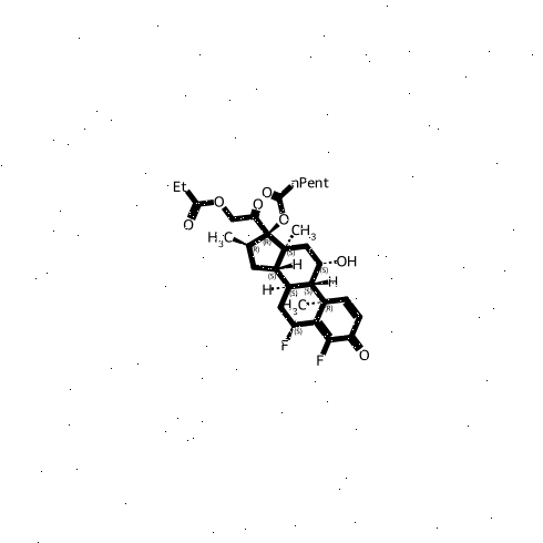 CCCCCC(=O)O[C@]1(C(=O)COC(=O)CC)[C@H](C)C[C@H]2[C@@H]3C[C@H](F)C4=C(F)C(=O)C=C[C@]4(C)[C@H]3[C@@H](O)C[C@@]21C